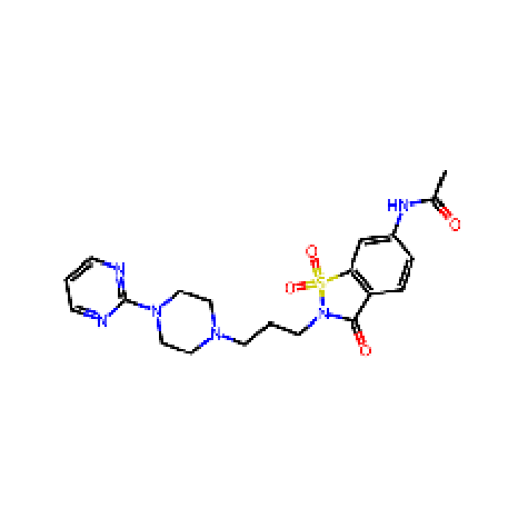 CC(=O)Nc1ccc2c(c1)S(=O)(=O)N(CCCN1CCN(c3ncccn3)CC1)C2=O